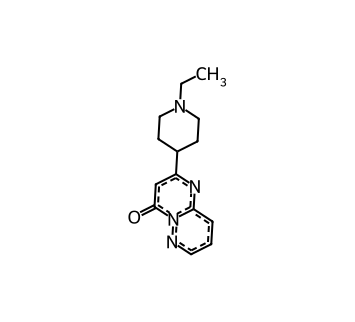 CCN1CCC(c2cc(=O)n3ncccc3n2)CC1